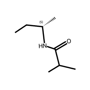 CC[C@H](C)NC(=O)C(C)C